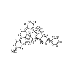 N#Cc1ccc(-c2ccc3c(c2)C2(c4ccccc4-3)c3ccccc3-n3c4ncc(-c5ccccc5)cc4c4cccc2c43)cc1